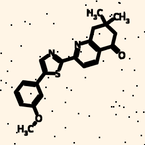 COc1cccc(-c2cnc(-c3ccc4c(n3)CC(C)(C)CC4=O)s2)c1